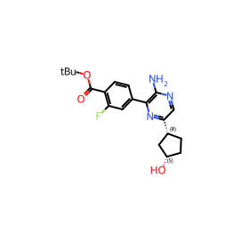 CC(C)(C)OC(=O)c1ccc(-c2nc([C@@H]3CC[C@H](O)C3)cnc2N)cc1F